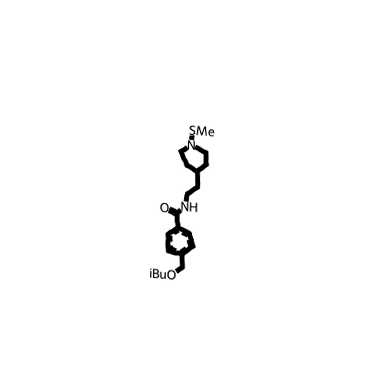 CSN1CCC(CCNC(=O)c2ccc(COCC(C)C)cc2)CC1